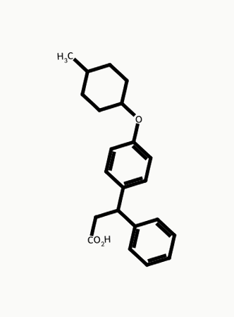 CC1CCC(Oc2ccc(C(CC(=O)O)c3ccccc3)cc2)CC1